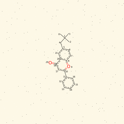 CC(C)(C)Cc1ccc2oc(-c3ccccc3)cc(=O)c2c1